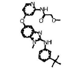 COCC(=O)Nc1cc(Oc2ccc3c(c2)nc(Nc2cccc(C(C)(C)C)c2)n3C)ccn1